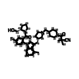 Cc1cncc2c1c(C[C@@H]1CCN(CC3CCN(C(=O)C(C)(C)C#N)CC3)C1)cn2-c1ccc(F)cc1C(=O)N1CCC[C@H]1CO